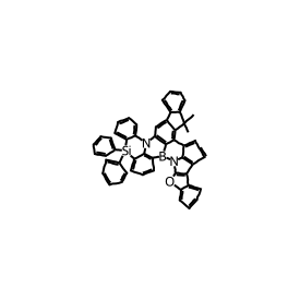 CC1(C)c2ccccc2-c2cc3c4c(c21)-c1cccc2c5c6ccccc6oc5n(c12)B4c1cccc2c1N3c1ccccc1[Si]2(c1ccccc1)c1ccccc1